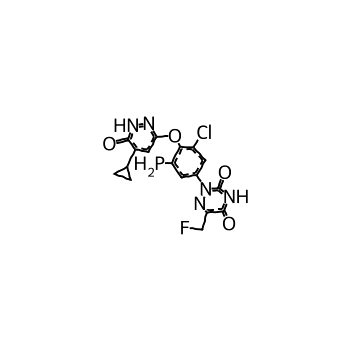 O=c1[nH]nc(Oc2c(P)cc(-n3nc(CF)c(=O)[nH]c3=O)cc2Cl)cc1C1CC1